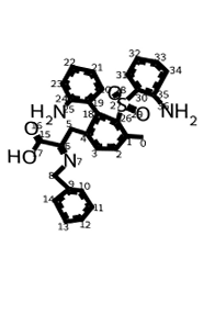 Cc1ccc(CC(=NCc2ccccc2)C(=O)O)c(-c2ccccc2N)c1S(=O)(=O)c1ccccc1N